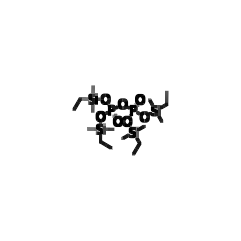 CC[Si](C)(C)OP(=O)(O[Si](C)(C)CC)OP(=O)(O[Si](C)(C)CC)O[Si](C)(C)CC